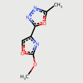 COc1nc(-c2nnc(C)o2)co1